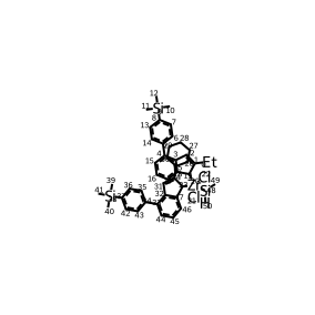 CCC1=Cc2c(-c3ccc([Si](C)(C)C)cc3)cccc2[CH]1[Zr]([Cl])([Cl])([CH]1C(C2CCCCC2)=Cc2c(-c3ccc([Si](C)(C)C)cc3)cccc21)[SiH](C)C